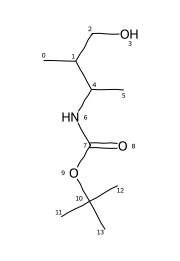 CC(CO)C(C)NC(=O)OC(C)(C)C